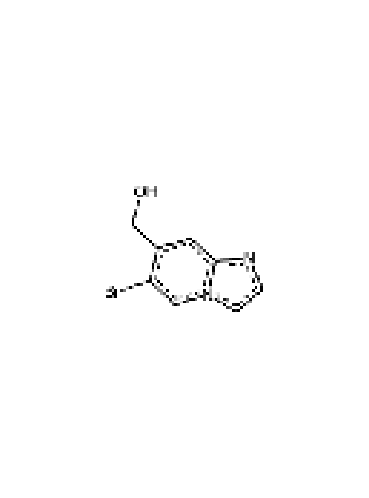 OCc1cc2nccn2cc1Br